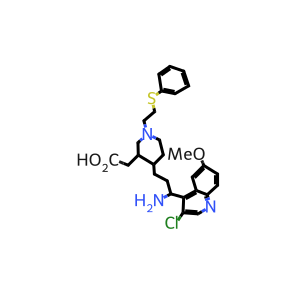 COc1ccc2ncc(Cl)c(C(N)CCC3CCN(CCSc4ccccc4)CC3CC(=O)O)c2c1